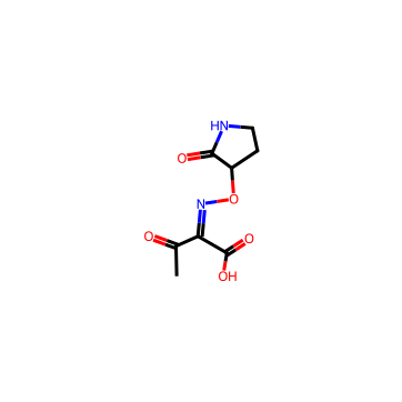 CC(=O)/C(=N/OC1CCNC1=O)C(=O)O